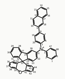 c1ccc(N(c2ccc(-c3ccc4ccccc4c3)cc2)c2ccc3c(c2)-c2ccccc2C32c3ccccc3Oc3ccccc32)cc1